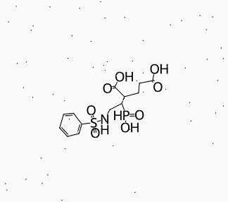 O=C(O)CCC(C(=O)O)C(CNS(=O)(=O)c1ccccc1)[PH](=O)O